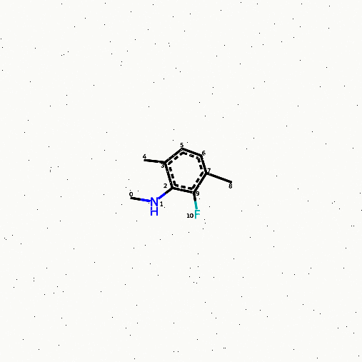 CNc1c(C)ccc(C)c1F